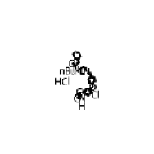 CCCCN(C(=O)CC1CCCCC1)C1CCN(Cc2ccc(Oc3ccc(NS(C)(=O)=O)cc3Cl)cc2)CC1.Cl